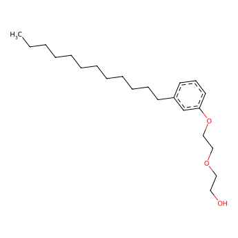 CCCCCCCCCCCCc1cccc(OCCOCCO)c1